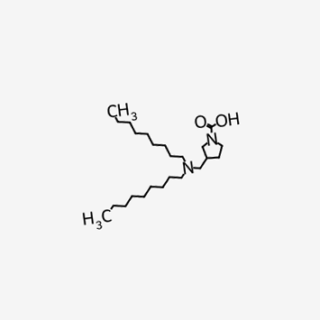 CCCCCCCCCN(CCCCCCCCC)CC1CCN(C(=O)O)C1